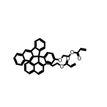 C=CC(=O)OCCOc1ccc(C2(c3c(OCCOC(=O)C=C)ccc4ccccc34)c3ccccc3-c3cc4ccccc4cc32)cc1